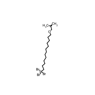 C=C(C)COCCCCCCCCCCCCC[Si](Br)(Br)Br